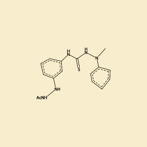 CC(=O)NNc1cccc(NC(=S)NN(C)c2ccccc2)c1